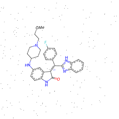 COCCN1CCC(Nc2ccc3c(c2)/C(=C(\c2ccc(F)cc2)c2nc4ccccc4[nH]2)C(=O)N3)CC1